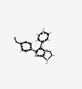 CCc1ccc(-c2nc3n(c2-c2ccncc2)CCS3)cc1